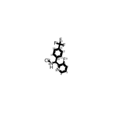 Fc1cccnc1C(NCl)c1ccc(C(F)(F)F)cc1